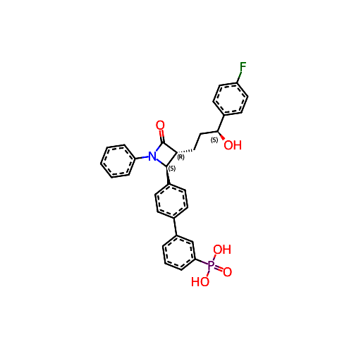 O=C1[C@H](CC[C@H](O)c2ccc(F)cc2)[C@@H](c2ccc(-c3cccc(P(=O)(O)O)c3)cc2)N1c1ccccc1